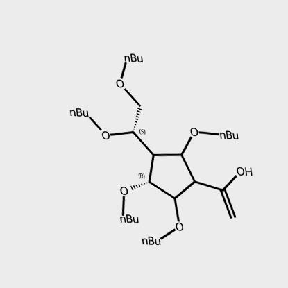 C=C(O)C1C(OCCCC)C([C@@H](COCCCC)OCCCC)[C@@H](OCCCC)C1OCCCC